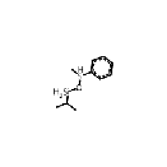 CC(C)[SiH2]O[SiH](C)c1ccccc1